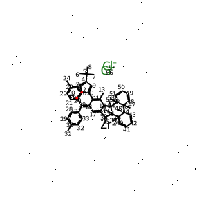 CCC1C=C(C(C)(C)C)C=C1C1=C(C)C2(C)C(=CC1=C(c1ccc(C)cc1)c1ccc(C)cc1)[CH]([Zr+2])C1(C)C3(C)C=CC=CC3(C)C3(C)C=CC=CC3(C)C21C.[Cl-].[Cl-]